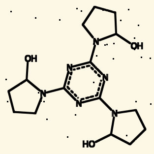 OC1CCCN1c1nc(N2CCCC2O)nc(N2CCCC2O)n1